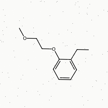 CCc1c[c]ccc1OCCOC